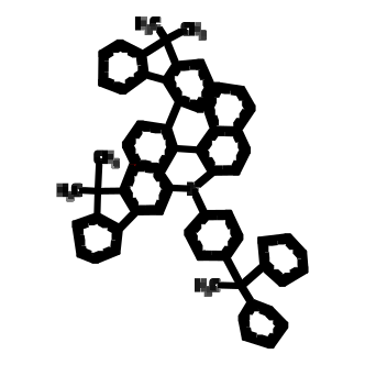 CC1(C)c2ccccc2-c2cc(N(c3ccc(C(C)(c4ccccc4)c4ccccc4)cc3)c3ccc4ccccc4c3-c3ccccc3-c3cccc4c3-c3ccccc3C4(C)C)ccc21